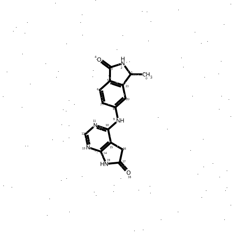 CC1NC(=O)c2ccc(Nc3ncnc4c3CC(=O)N4)cc21